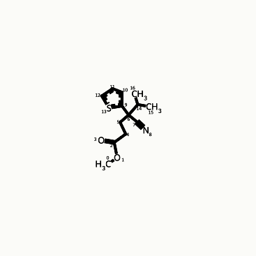 COC(=O)CCC(C#N)(c1cccs1)C(C)C